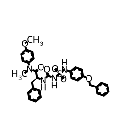 COc1ccc(N(C)C(=O)[C@H](Cc2ccccc2)NC(=O)NS(=O)(=O)Nc2ccc(OCc3ccccc3)cc2)cc1